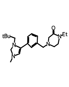 CCN1CCN(Cc2cccc(C3=CN(C)CN3CC(C)(C)C)c2)CC1=O